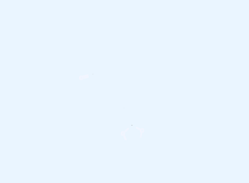 CCC(C(=O)O)C(=O)c1cc(F)c(C2CCC3(C2)OCCO3)cc1F